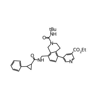 CCOC(=O)c1cncc(-c2ccc(CNC(=O)C3CC3c3ccccc3)c3c2CCN(C(=O)NC(C)(C)C)C3)c1